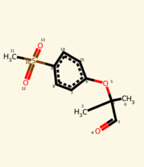 CC(C)(C=O)Oc1ccc(S(C)(=O)=O)cc1